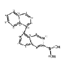 OB(O)c1cc2cccc(-c3cccc4ccccc34)c2cn1